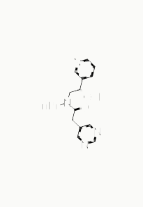 CCCN(C[C@@H](O)c1cccnc1)C(=O)Cc1cncnc1